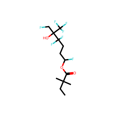 CCC(C)(C)C(=O)OC(F)CCC(F)(F)C(O)(CF)C(F)(F)F